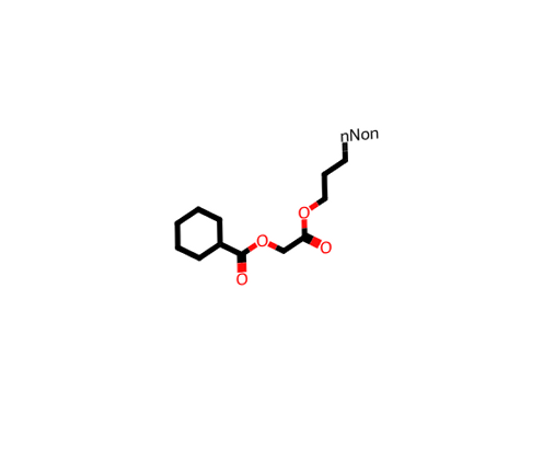 CCCCCCCCCCCCOC(=O)COC(=O)C1CCCCC1